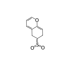 O=S(=O)=C1CC=C2OC=CC=C2C1